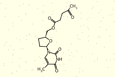 CC(=O)CCC(=O)OC[C@@H]1CC[C@H](n2cc(C)c(=O)[nH]c2=O)O1